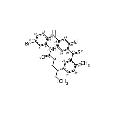 CCCCCC(=O)Nc1cc(Br)ccc1Nc1ccc(C(=S)c2ccccc2C)c(Cl)c1